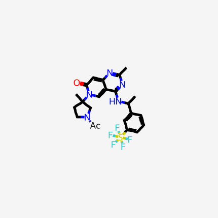 CC(=O)N1CCC(C)(n2cc3c(NC(C)c4cccc(S(F)(F)(F)(F)F)c4)nc(C)nc3cc2=O)C1